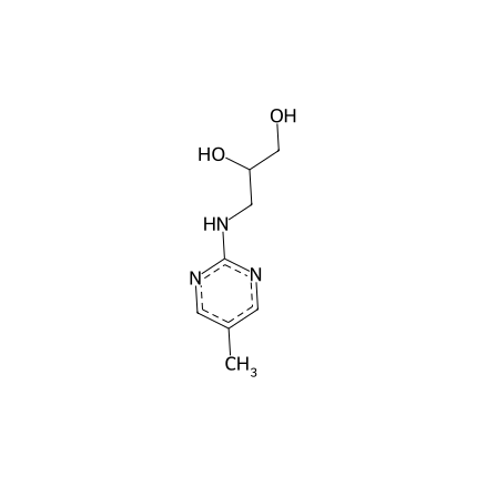 Cc1cnc(NCC(O)CO)nc1